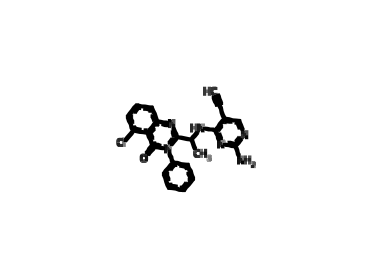 C#Cc1cnc(N)nc1NC(C)c1nc2cccc(Cl)c2c(=O)n1-c1ccccc1